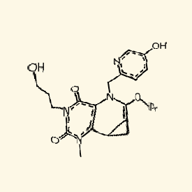 CC(C)OC1=C2CC2c2c(c(=O)n(CCCO)c(=O)n2C)N1Cc1ccc(O)cn1